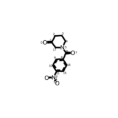 O=C1CCCN(C(=O)c2ccc([N+](=O)[O-])cc2)C1